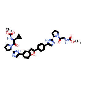 COC(=O)NCC(=O)N1CCC[C@H]1c1ncc(-c2ccc(-c3cc4cc(-c5cnc([C@@H]6CCCN6C(=O)C(NC(=O)OC)C6CC6)[nH]5)ccc4o3)cc2)[nH]1